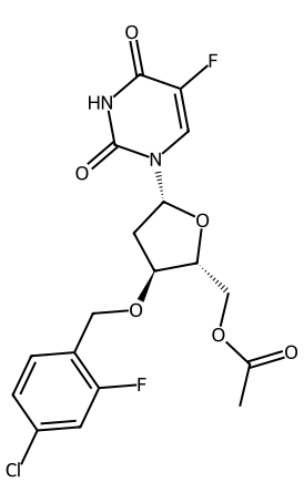 CC(=O)OC[C@H]1O[C@@H](n2cc(F)c(=O)[nH]c2=O)C[C@@H]1OCc1ccc(Cl)cc1F